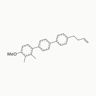 C=CCCc1ccc(-c2ccc(-c3ccc(OC)c(C)c3C)cc2)cc1